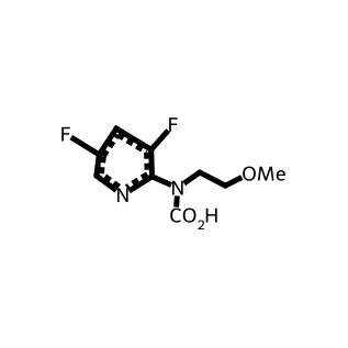 COCCN(C(=O)O)c1ncc(F)cc1F